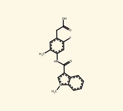 Cc1cc(CC(=O)O)c(F)cc1NC(=O)c1cn(C)c2ccccc12